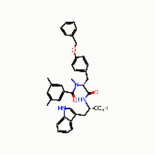 Cc1cc(C)cc(C(=O)N(C)[C@@H](Cc2ccc(OCc3ccccc3)cc2)C(=O)N[C@@H](Cc2c[nH]c3ccccc23)C(=O)O)c1